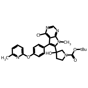 Cc1cccc(Oc2ccc(-c3c(C4(O)CCN(C(=O)OC(C)(C)C)C4)n(C)c4ncnc(Cl)c34)cc2)n1